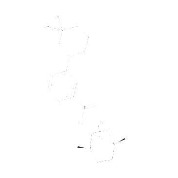 N#CN1[C@H]2CC[C@@H]1[C@H](NC(=O)c1cc(N3CCCC4(CC4)C3)ncn1)C2